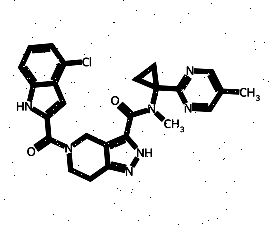 Cc1cnc(C2(N(C)C(=O)c3[nH]nc4c3CN(C(=O)c3cc5c(Cl)cccc5[nH]3)CC4)CC2)nc1